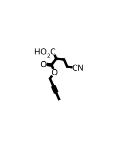 CC#CCOC(=O)C(CCC#N)C(=O)O